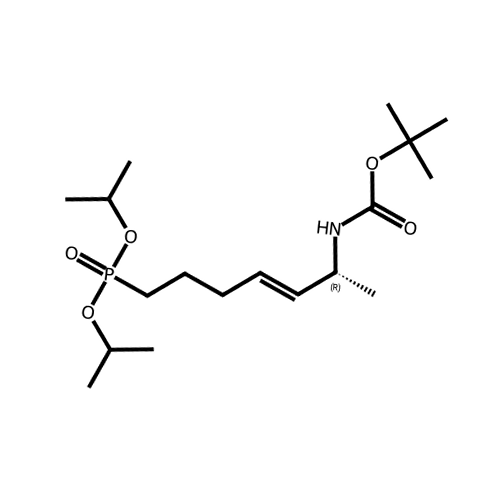 CC(C)OP(=O)(CCCC=C[C@@H](C)NC(=O)OC(C)(C)C)OC(C)C